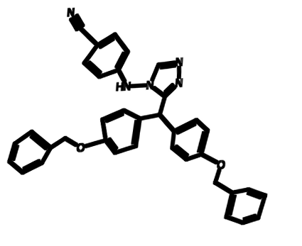 N#Cc1ccc(Nn2cnnc2C(c2ccc(OCc3ccccc3)cc2)c2ccc(OCc3ccccc3)cc2)cc1